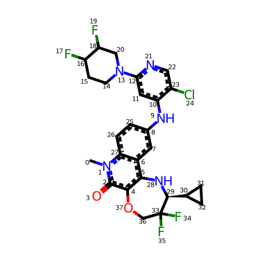 Cn1c(=O)c2c(c3cc(Nc4cc(N5CCC(F)C(F)C5)ncc4Cl)ccc31)N[C@@H](C1CC1)C(F)(F)CO2